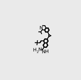 CC(C)C1=NCCc2ccc(C3CC3c3cc(/C=C/C(C)(C)C)c4cc(C(=N)N)ccc4c3)cc21